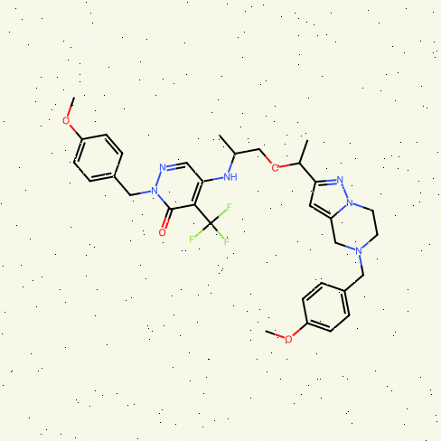 COc1ccc(CN2CCn3nc(C(C)OCC(C)Nc4cnn(Cc5ccc(OC)cc5)c(=O)c4C(F)(F)F)cc3C2)cc1